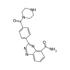 NC(=O)c1cccc2nnc(-c3ccc(C(=O)N4CCNCC4)cc3)nc12